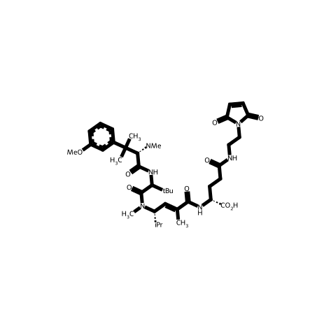 CN[C@H](C(=O)NC(C(=O)N(C)[C@H](/C=C(\C)C(=O)N[C@H](CCC(=O)NCCN1C(=O)C=CC1=O)C(=O)O)C(C)C)C(C)(C)C)C(C)(C)c1cccc(OC)c1